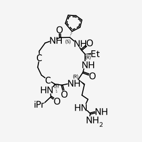 CC[C@H]1NC(=O)[C@@H](CCCNC(=N)N)NC(=O)[C@@](C)(NC(=O)C(C)C)CCCCCCNC(=O)[C@H](c2ccccc2)NC1=O